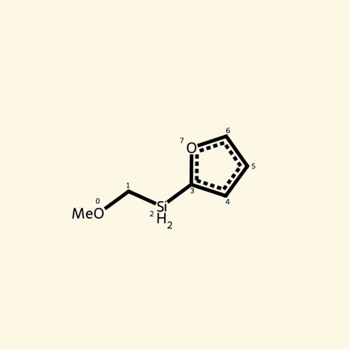 COC[SiH2]c1ccco1